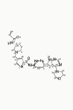 C=CC(=O)N[C@@H]1CCCN(Cc2ccnc(C(=O)Nc3ccc(-c4cc5c(N6CCOCC6)ncnc5[nH]4)nn3)c2)C1